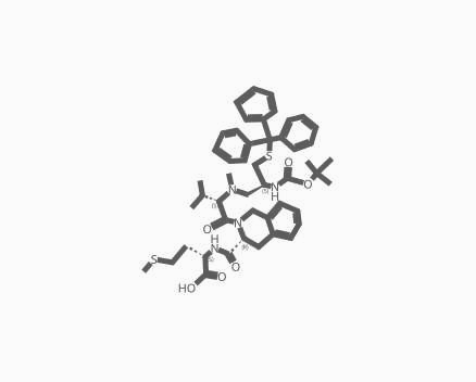 CSCC[C@H](NC(=O)[C@H]1Cc2ccccc2CN1C(=O)[C@H](C(C)C)N(C)C[C@@H](CSC(c1ccccc1)(c1ccccc1)c1ccccc1)NC(=O)OC(C)(C)C)C(=O)O